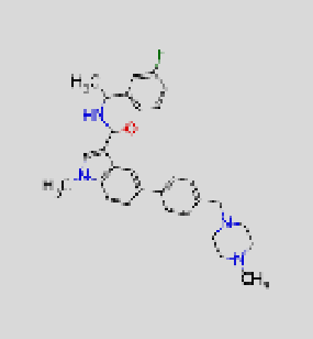 CC(NC(=O)c1cn(C)c2ccc(-c3ccc(CN4CCN(C)CC4)cc3)cc12)c1cccc(F)c1